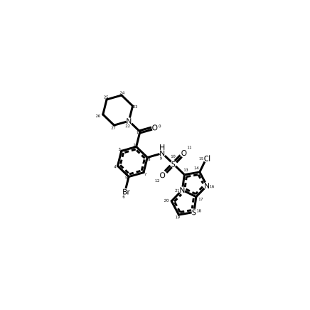 O=C(c1ccc(Br)cc1NS(=O)(=O)c1c(Cl)nc2sccn12)N1CCCCC1